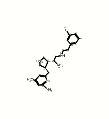 Cc1cc(N)nc(C[C@H]2CNC[C@@H]2C(N)CNCCc2cccc(F)c2)c1